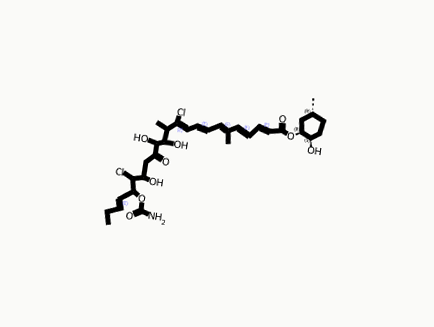 CC/C=C/C(OC(N)=O)C(Cl)C(O)CC(=O)C(O)C(O)C(C)/C(Cl)=C/C=C/C=C(C)/C=C/C=C/C(=O)O[C@@H]1C[C@H](C)CC[C@@H]1O